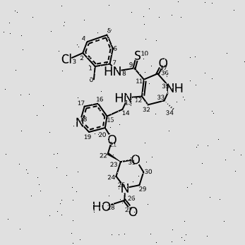 Cc1c(Cl)cccc1NC(=S)C1=C(NCc2ccncc2OC[C@@H]2CN(C(=O)O)CCO2)C[C@@H](C)NC1=O